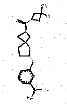 CC(C)c1cccc(C[C@@H]2CCC3(C2)CN(C(=O)[C@H]2C[C@@](C)(O)C2)C3)c1